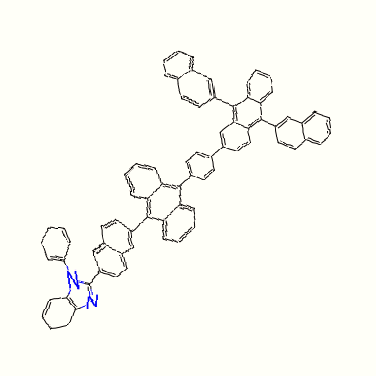 C1=CC(n2c(-c3ccc4cc(-c5c6ccccc6c(-c6ccc(-c7ccc8c(-c9ccc%10ccccc%10c9)c9ccccc9c(-c9ccc%10ccccc%10c9)c8c7)cc6)c6ccccc56)ccc4c3)nc3c2C=CCC3)=CCC1